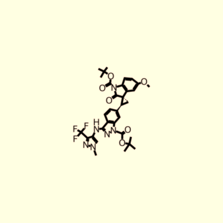 COc1ccc2c(c1)[C@]1(C[C@H]1c1ccc3c(Nc4cn(C)nc4C(F)(F)F)nn(C(=O)OC(C)(C)C)c3c1)C(=O)N2C(=O)OC(C)(C)C